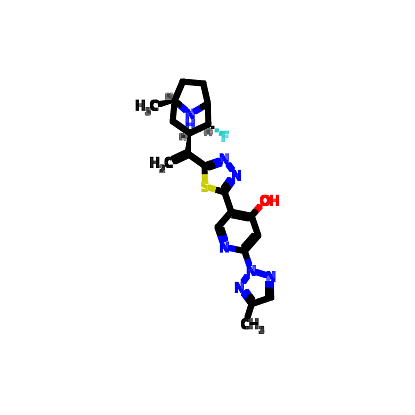 C=C(c1nnc(-c2cnc(-n3ncc(C)n3)cc2O)s1)[C@H]1C[C@]2(C)CCC(N2)[C@@H]1F